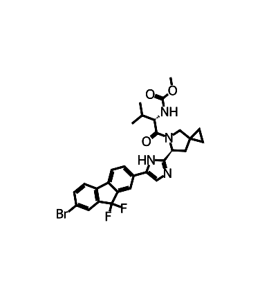 COC(=O)N[C@H](C(=O)N1CC2(CC2)C[C@H]1c1ncc(-c2ccc3c(c2)C(F)(F)c2cc(Br)ccc2-3)[nH]1)C(C)C